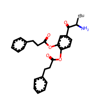 CC(C)(C)C(N)C(=O)c1ccc(OC(=O)CCc2ccccc2)c(OC(=O)CCc2ccccc2)c1